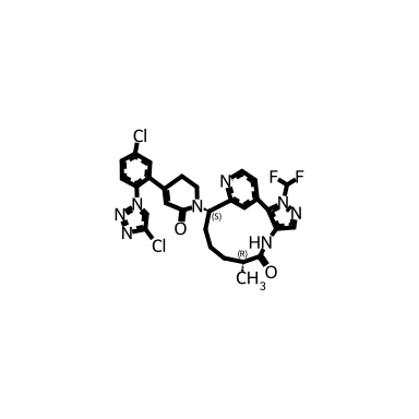 C[C@@H]1CCC[C@H](N2CCC(c3cc(Cl)ccc3-n3cc(Cl)nn3)=CC2=O)c2cc(ccn2)-c2c(cnn2C(F)F)NC1=O